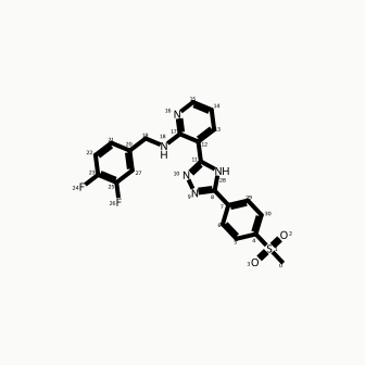 CS(=O)(=O)c1ccc(-c2nnc(-c3cccnc3NCc3ccc(F)c(F)c3)[nH]2)cc1